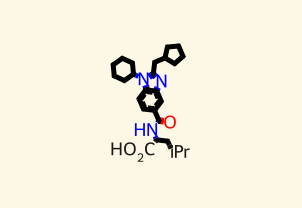 CC(C)CC(NC(=O)c1ccc2c(c1)nc(CC1CCCC1)n2C1CCCCC1)C(=O)O